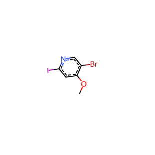 COc1cc(I)ncc1Br